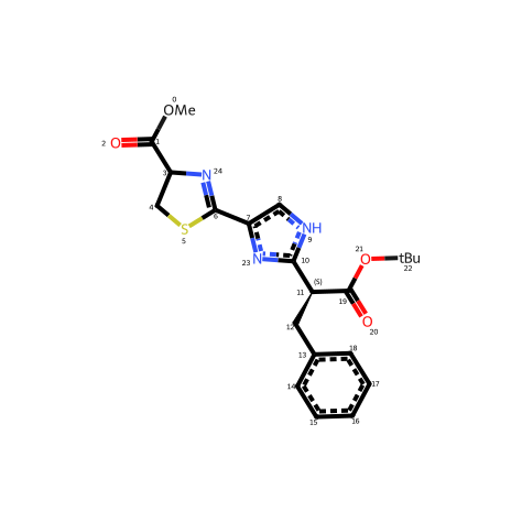 COC(=O)C1CSC(c2c[nH]c([C@H](Cc3ccccc3)C(=O)OC(C)(C)C)n2)=N1